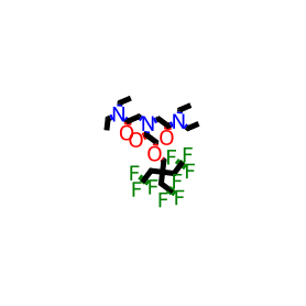 CCN(CC)C(=O)CN(CC(=O)N(CC)CC)C(=O)COCC(CC(F)(F)F)(CC(F)(F)F)CC(F)(F)F